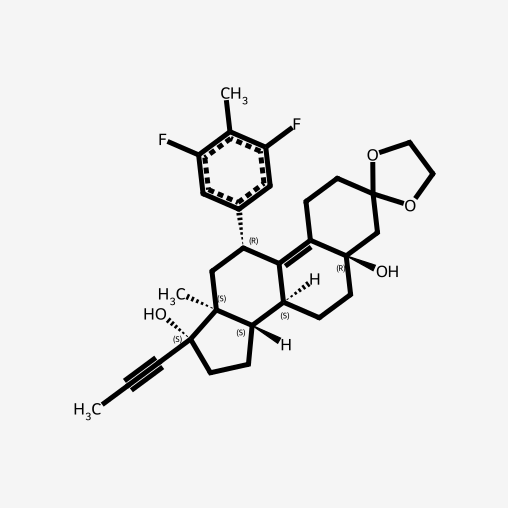 CC#C[C@]1(O)CC[C@H]2[C@@H]3CC[C@@]4(O)CC5(CCC4=C3[C@@H](c3cc(F)c(C)c(F)c3)C[C@@]21C)OCCO5